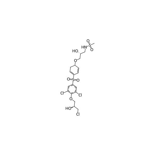 CS(=O)(=O)NC[C@@H](O)COC1C=CC(S(=O)(=O)c2cc(Cl)c(OC[C@H](O)CCl)c(Cl)c2)=CC1